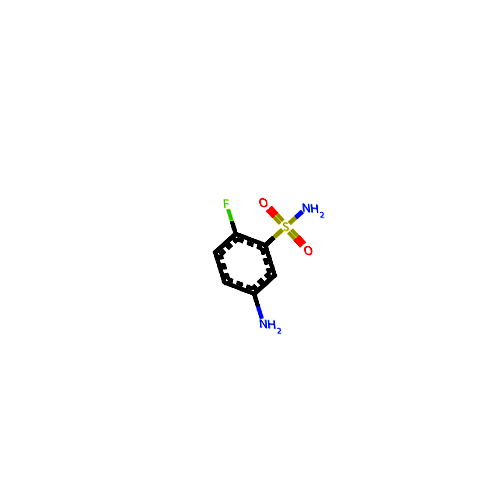 Nc1ccc(F)c(S(N)(=O)=O)c1